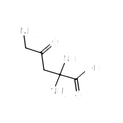 NCC(=O)CC(N)(N)C(=O)O